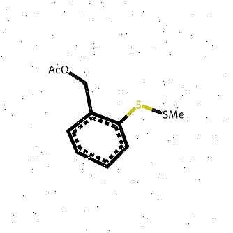 CSSc1ccccc1COC(C)=O